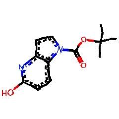 CC(C)(C)OC(=O)n1ccc2nc(O)ccc21